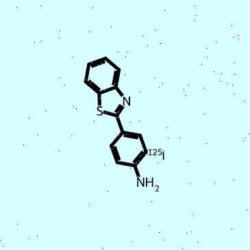 Nc1ccc(-c2nc3ccccc3s2)cc1[125I]